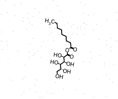 CCCCCCCCC(=O)OC(=O)[C@H](O)[C@@H](O)[C@H](O)[C@H](O)CO